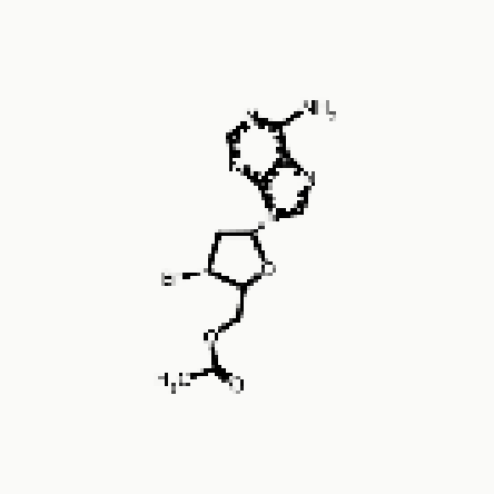 CC(=O)OCC1O[C@@H](n2cnc3c(N)ncnc32)C[C@@H]1Br